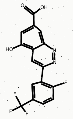 O=C(O)c1cc(O)c2cc(-c3cc(C(F)(F)F)ccc3F)nnc2c1